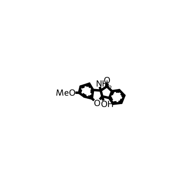 COc1ccc2c(c1)OC1(O)c3ccccc3C(=O)C21N